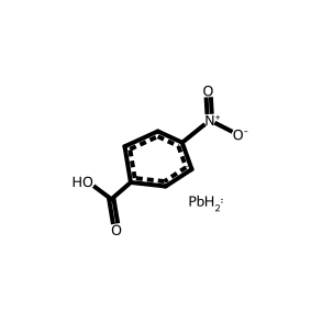 O=C(O)c1ccc([N+](=O)[O-])cc1.[PbH2]